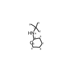 CC(C)(C)NC1CCCCO1